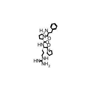 N=C(N)NCCC[C@H](NC(=O)[C@@H]1CCCN1C(=O)[C@H](N)Cc1ccccc1)C(=O)N1CCCC1